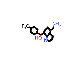 NCc1ccc(C(O)c2ccc(C(F)(F)F)cc2)c2ncccc12